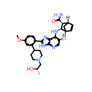 COc1ccc(-c2nc3c(N[C@H]4[C@@H](C(N)=O)[C@@H]5C=C[C@H]4C5)c(Cl)cnc3[nH]2)c(C2CCN(C[C@H](C)O)CC2)c1